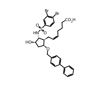 O=C(O)CCC/C=C\C[C@@H]1[C@@H](NS(=O)(=O)c2ccc(Br)c(Br)c2)[C@H](O)C[C@@H]1OCc1ccc(-c2ccccc2)cc1